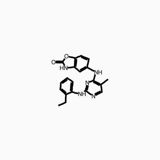 CCc1ccccc1Nc1ncc(C)c(Nc2ccc3oc(=O)[nH]c3c2)n1